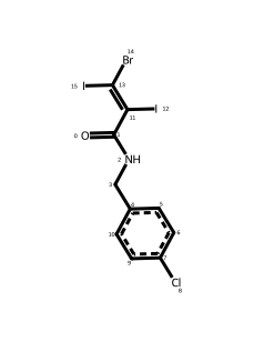 O=C(NCc1ccc(Cl)cc1)C(I)=C(Br)I